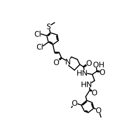 COc1ccc(OC)c(CC(=O)NCC(NC(=O)C2CCN(C(=O)C=Cc3ccc(SC)c(Cl)c3Cl)CC2)C(=O)O)c1